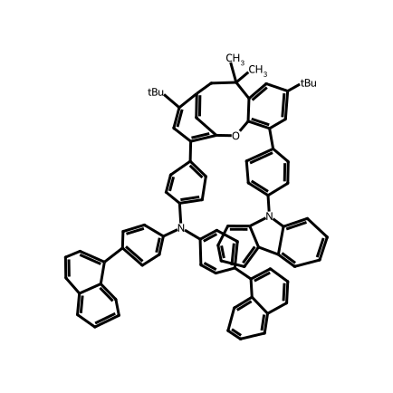 CC(C)(C)c1cc(-c2ccc(-n3c4ccccc4c4ccccc43)cc2)c2c(c1)C(C)(C)Cc1cc(c(-c3ccc(N(c4ccc(-c5cccc6ccccc56)cc4)c4ccc(-c5cccc6ccccc56)cc4)cc3)cc1C(C)(C)C)O2